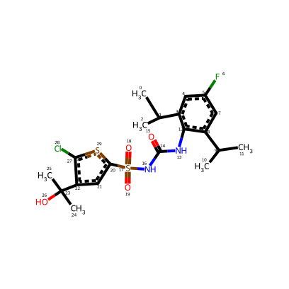 CC(C)c1cc(F)cc(C(C)C)c1NC(=O)NS(=O)(=O)c1cc(C(C)(C)O)c(Cl)s1